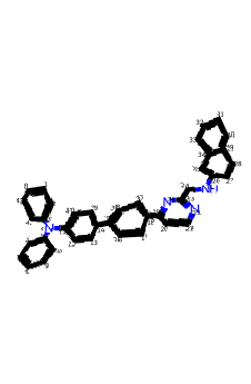 c1ccc(N(c2ccccc2)c2ccc(-c3ccc(-c4ccnc(CNc5ccc6ccccc6c5)n4)cc3)cc2)cc1